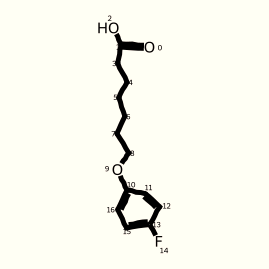 O=C(O)CCCCCCOc1ccc(F)cc1